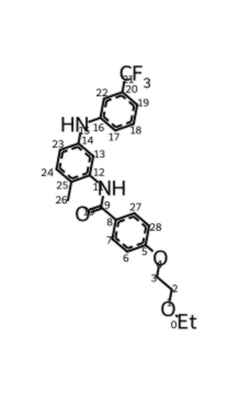 CCOCCOc1ccc(C(=O)Nc2cc(Nc3cccc(C(F)(F)F)c3)ccc2C)cc1